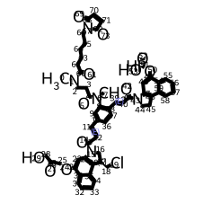 CN(CCC(=O)N(C)c1cc(/C=C/C(=O)N2C[C@@H](CCl)c3c2cc(OCC(=O)CO)c2ccccc32)ccc1/C=C/C(=O)N1CCc2c1cc(O[PH](=O)O)c1ccccc21)C(=O)CCCCCN1C(=O)C=CC1=O